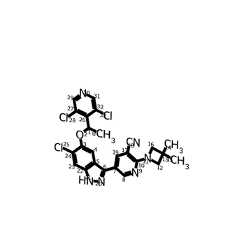 CC(Oc1cc2c(-c3cnc(N4CC(C)(C)C4)c(C#N)c3)n[nH]c2cc1Cl)c1c(Cl)cncc1Cl